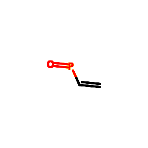 C=CP=O